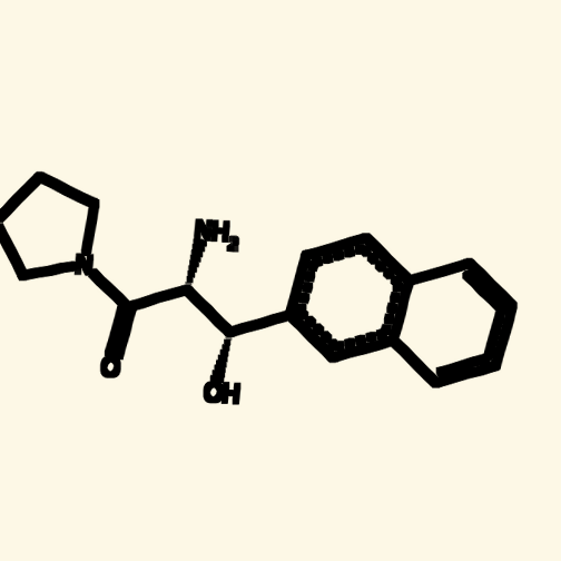 N[C@@H](C(=O)N1CCCC1)[C@@H](O)c1ccc2c(c1)C=C=C=C2